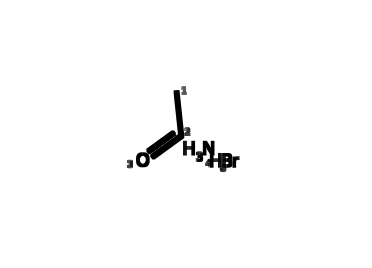 Br.CC=O.N